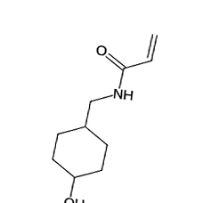 C=CC(=O)NCC1CCC(O)CC1